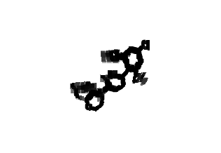 CC(=O)NC[C@@H]1CN(c2ccc(-c3c(C)cc(Cl)cc3O)nn2)CCO1